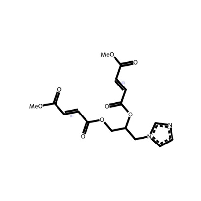 COC(=O)/C=C/C(=O)OCC(Cn1ccnc1)OC(=O)/C=C/C(=O)OC